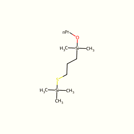 CCCO[Si](C)(C)CCCS[Si](C)(C)C